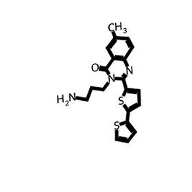 Cc1ccc2nc(-c3ccc(-c4cccs4)s3)n(CCCN)c(=O)c2c1